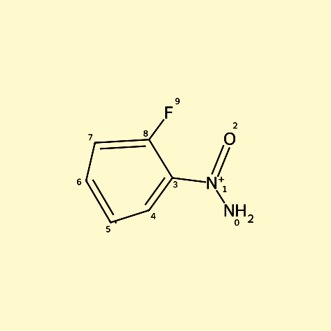 N[N+](=O)c1c[c]ccc1F